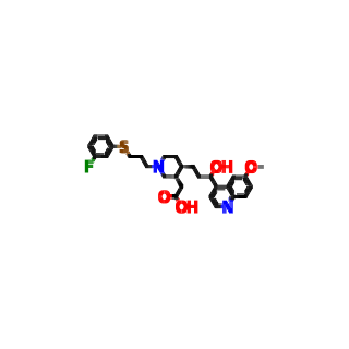 COc1ccc2nccc(C(O)CC[C@@H]3CCN(CCCSc4cccc(F)c4)C[C@@H]3CC(=O)O)c2c1